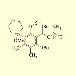 COC1(c2c(C)c(C)c(C(C)(C)C)c(C(O[SiH](C)C)C(C)(C)C)c2O[SiH3])CCOCC1